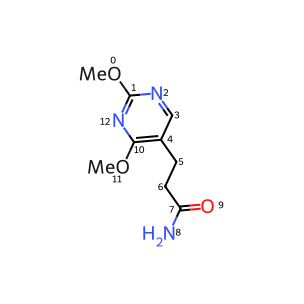 COc1ncc(CCC(N)=O)c(OC)n1